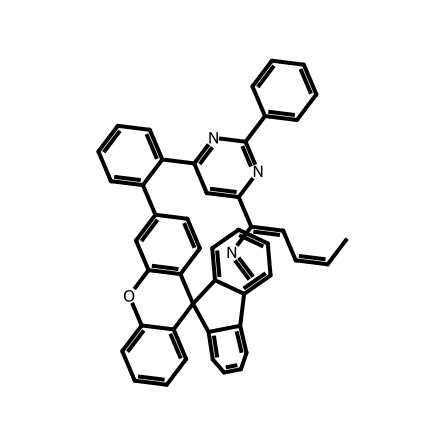 C=N/C(=C\C=C/C)c1cc(-c2ccccc2-c2ccc3c(c2)Oc2ccccc2C32c3ccccc3-c3ccccc32)nc(-c2ccccc2)n1